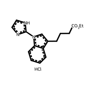 CCOC(=O)CCCc1cn(-c2ncc[nH]2)c2ccccc12.Cl